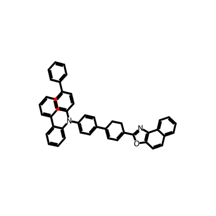 C1=C(c2ccc(N(c3ccc(-c4ccccc4)cc3)c3ccccc3-c3ccccc3)cc2)CCC(c2nc3c(ccc4ccccc43)o2)=C1